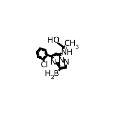 Bc1cnn2c(N[C@H](C)CO)cc(-c3ccccc3Cl)nc12